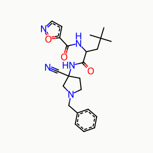 CC(C)(C)CC(NC(=O)c1ccno1)C(=O)NC1(C#N)CCN(Cc2ccccc2)C1